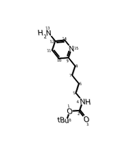 CC(C)(C)OC(=O)NCCCCc1ccc(N)cn1